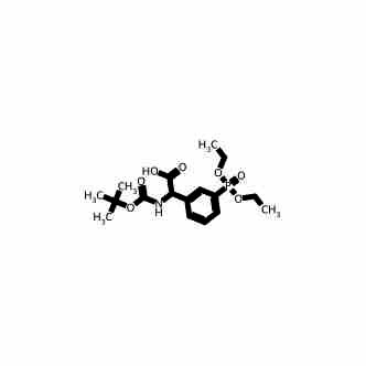 CCOP(=O)(OCC)c1cccc(C(NC(=O)OC(C)(C)C)C(=O)O)c1